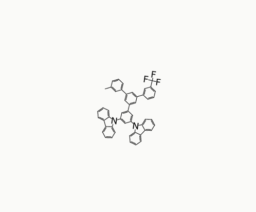 Cc1cccc(-c2cc(-c3cc(-n4c5ccccc5c5ccccc54)cc(-n4c5ccccc5c5ccccc54)c3)cc(-c3cccc(C(F)(F)F)c3)c2)c1